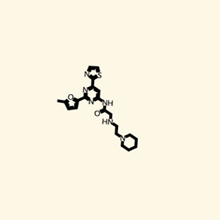 Cc1ccc(-c2nc(NC(=O)CNCCN3CCCCC3)cc(-c3nccs3)n2)o1